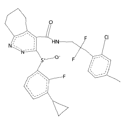 Cc1ccc(C(F)(F)CNC(=O)c2c([S+]([O-])c3cccc(C4CC4)c3F)nnc3c2CCCC3)c(Cl)c1